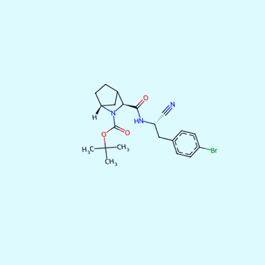 CC(C)(C)OC(=O)N1[C@@H]2CCC(C2)[C@H]1C(=O)N[C@H](C#N)Cc1ccc(Br)cc1